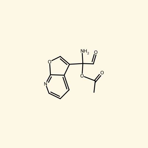 CC(=O)OC(N)(C=O)c1coc2ncccc12